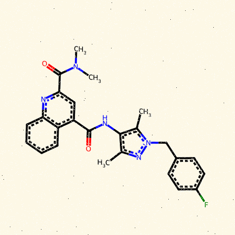 Cc1nn(Cc2ccc(F)cc2)c(C)c1NC(=O)c1cc(C(=O)N(C)C)nc2ccccc12